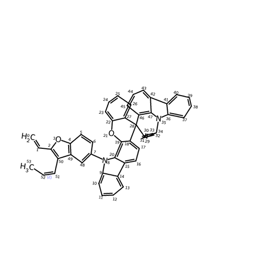 C=Cc1oc2ccc(-n3c4ccccc4c4ccc5c(c43)Oc3ccccc3C53c4ccccc4-n4c5ccccc5c5cccc3c54)cc2c1/C=C\C